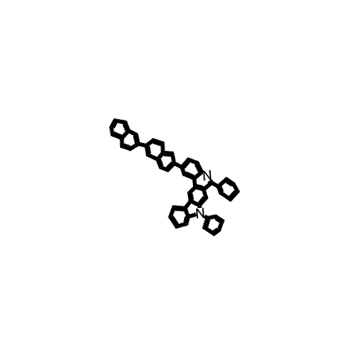 c1ccc(-c2nc3ccc(-c4ccc5cc(-c6ccc7ccccc7c6)ccc5c4)cc3c3cc4c5ccccc5n(-c5ccccc5)c4cc23)cc1